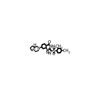 Cc1ccc(S(=O)(=O)c2nnn3c2[nH]c(=O)c2ccc(N4CCN5CCC[C@H]5C4)cc23)c(C)c1